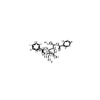 C[C@@H](OC(=O)c1ccccc1)[C@H]1OC(O)[C@](C)(O)[C@@H]1OC(=O)c1ccccc1